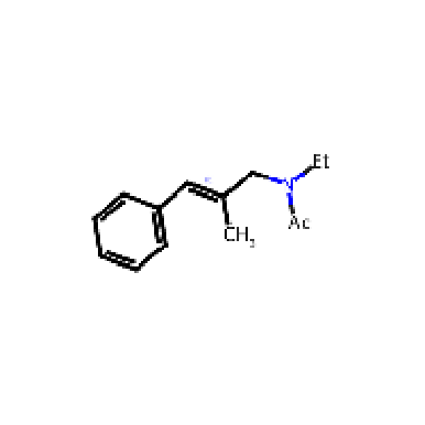 CCN(C/C(C)=C/c1ccccc1)C(C)=O